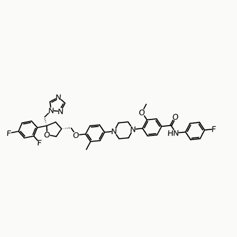 COc1cc(C(=O)Nc2ccc(F)cc2)ccc1N1CCN(c2ccc(OC[C@@H]3CO[C@@](Cn4cncn4)(c4ccc(F)cc4F)C3)c(C)c2)CC1